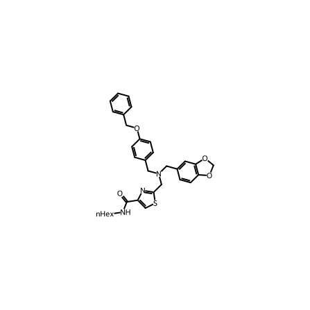 CCCCCCNC(=O)c1csc(CN(Cc2ccc(OCc3ccccc3)cc2)Cc2ccc3c(c2)OCO3)n1